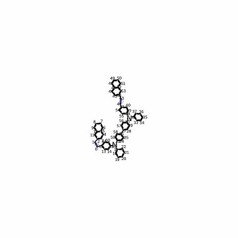 C(=C/c1ccc2ccccc2c1)/c1ccc(N(c2ccccc2)c2ccc(-c3ccc(N(c4ccccc4)c4ccc(/C=C/c5ccc6ccccc6c5)cc4)cc3)cc2)cc1